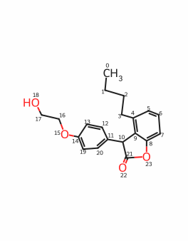 CCCCc1cccc2c1C(c1ccc(OCCO)cc1)C(=O)O2